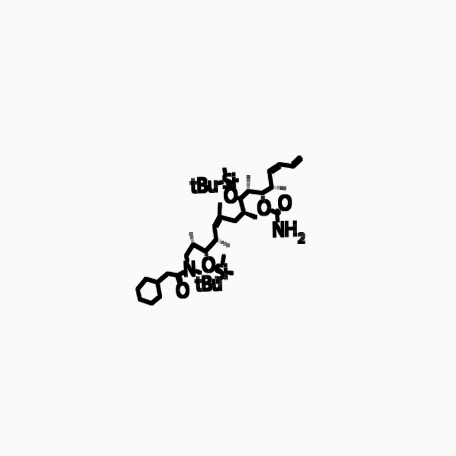 C=C/C=C\[C@H](C)[C@H](OC(N)=O)[C@@H](C)[C@H](O[Si](C)(C)C(C)(C)C)[C@@H](C)C/C(C)=C\[C@H](C)[C@H](O[Si](C)(C)C(C)(C)C)[C@@H](C)CN(C)C(=O)CC1CCCCC1